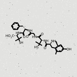 Cc1cc(O)cc(C)c1C[C@H](N)C(=O)N[C@@H](C(=O)NCC(=O)N[C@@H](Cc1ccccc1)C(=O)N[C@@H](C(=O)O)C(C)(C)S)C(C)(C)S